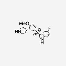 COc1ccc(S(=O)(=O)c2c[nH]c3ccc(F)cc23)cc1N1CCNCC1